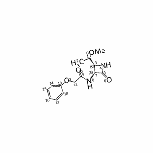 COC(C)[C@H]1NC(=O)[C@H]1NC(=O)COc1ccccc1